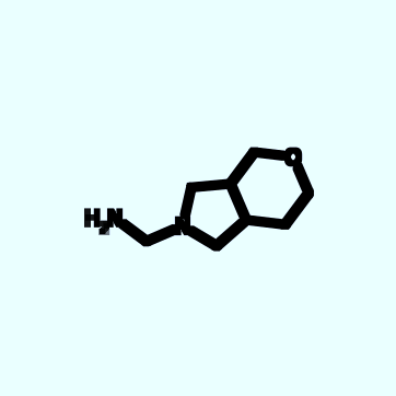 NCN1CC2CCOCC2C1